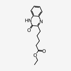 CCOC(=O)CCCCc1nc2ccccc2[nH]c1=O